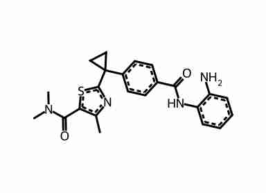 Cc1nc(C2(c3ccc(C(=O)Nc4ccccc4N)cc3)CC2)sc1C(=O)N(C)C